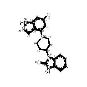 O=c1[nH]c2ccccc2n1C1CCN(c2cc(Cl)cc3[nH]ncc23)CC1